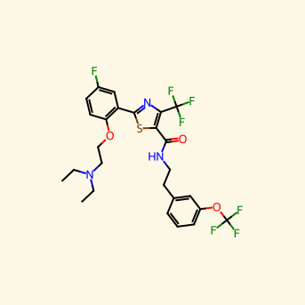 CCN(CC)CCOc1ccc(F)cc1-c1nc(C(F)(F)F)c(C(=O)NCCc2cccc(OC(F)(F)F)c2)s1